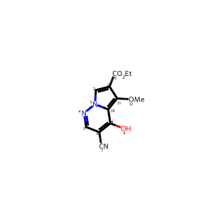 CCOC(=O)c1cn2ncc(C#N)c(O)c2c1OC